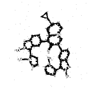 Cn1nccc1-c1c2cc(-c3cn4ccc(C5CC5)cc4c(-c4ccc5nn(C)c(-c6ccnn6C)c5c4)c3=O)ccc2nn1C